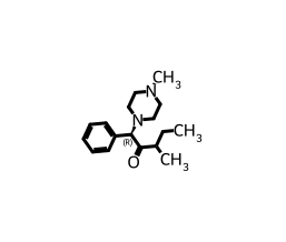 CCC(C)C(=O)[C@@H](c1ccccc1)N1CCN(C)CC1